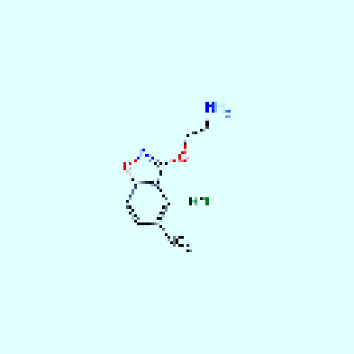 Cl.NCCOc1noc2ccc([N+](=O)[O-])cc12